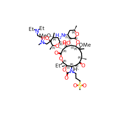 CC[C@H]1OC(=O)[C@H](C)[C@@H](O[C@H]2C[C@@](C)(OC)[C@@](O)(CN(C)CCN(CC)CC)[C@H](C)O2)[C@H](C)[C@@H](O[C@@H]2O[C@H](C)C[C@H](N)[C@H]2O)[C@@](C)(OC)C[C@@H](C)C(=O)[C@H](C)[C@H]2N(CCCS(C)(=O)=O)C(=O)O[C@]12C